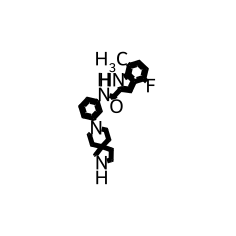 Cc1ccc(F)c2cc(C(=O)Nc3cccc(N4CCC5(CCNC5)CC4)c3)[nH]c12